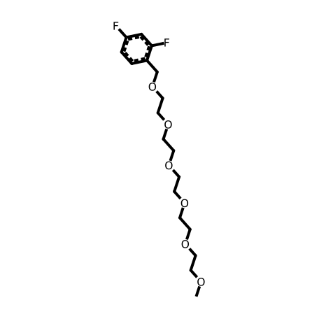 COCCOCCOCCOCCOCCOCc1ccc(F)cc1F